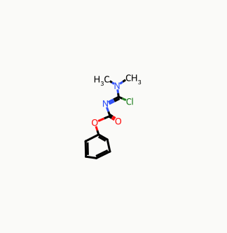 CN(C)C(Cl)=NC(=O)Oc1ccccc1